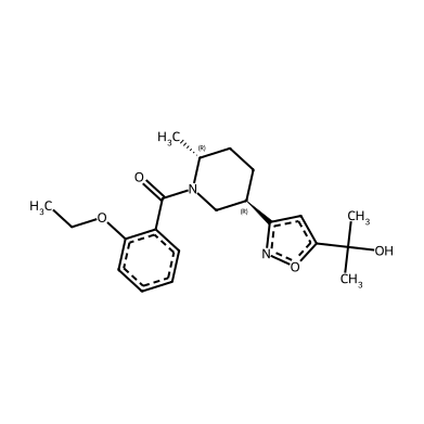 CCOc1ccccc1C(=O)N1C[C@H](c2cc(C(C)(C)O)on2)CC[C@H]1C